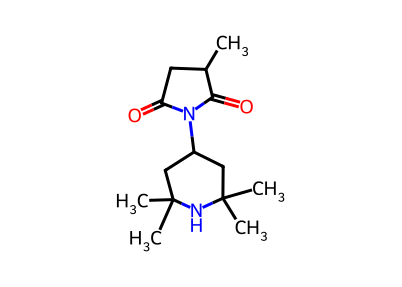 CC1CC(=O)N(C2CC(C)(C)NC(C)(C)C2)C1=O